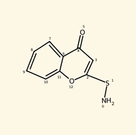 NSc1cc(=O)c2ccccc2o1